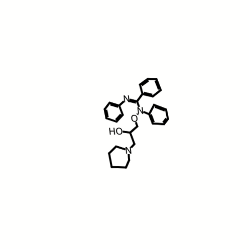 OC(CON(C(=Nc1ccccc1)c1ccccc1)c1ccccc1)CN1CCCCC1